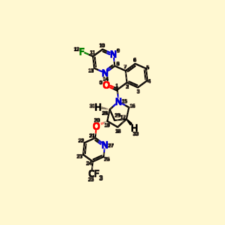 O=C(c1ccccc1-c1ncc(F)cn1)N1C[C@@H]2C[C@H](Oc3ccc(C(F)(F)F)cn3)[C@@H]1C2